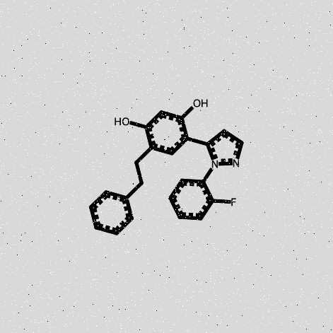 Oc1cc(O)c(-c2ccnn2-c2ccccc2F)cc1CCc1ccccc1